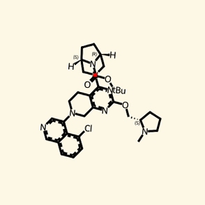 CN1CCC[C@H]1COc1nc2c(c(N3C[C@H]4CC[C@@H](C3)N4C(=O)OC(C)(C)C)n1)CCN(c1cncc3cccc(Cl)c13)C2